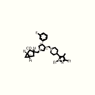 CCc1nn(CC)c(C2CCN(C[C@H]3CN(CC4(C(=O)O)C[C@H]5C[C@H]5C4)C[C@@H]3c3cccc(F)c3)CC2)c1C